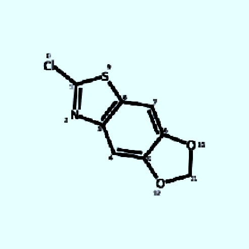 Clc1nc2cc3c(cc2s1)OCO3